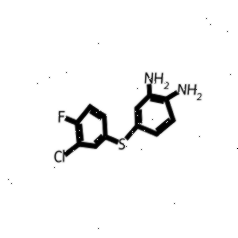 Nc1ccc(Sc2ccc(F)c(Cl)c2)cc1N